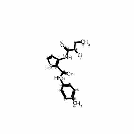 CCC(Cl)C(=O)Nc1ccsc1C(=O)Nc1ccc(C)cc1